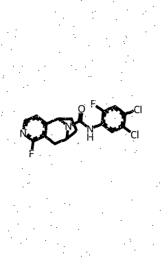 O=C(Nc1cc(Cl)c(Cl)cc1F)N1C2CCC1c1ccnc(F)c1C2